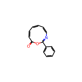 O=c1ccccccnc(-c2ccccc2)o1